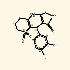 O=C1OCC2=C1[C@@H](c1ccc(F)c(Br)c1)C1=C(CCCS1(=O)=O)N2